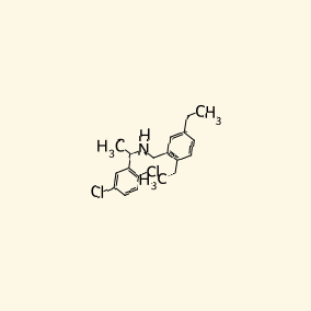 CCc1ccc(CC)c(CNC(C)c2cc(Cl)ccc2Cl)c1